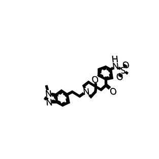 Cn1cnc2ccc(CCN3CCC4(CC3)CC(=O)c3cc(NS(C)(=O)=O)ccc3O4)cc21